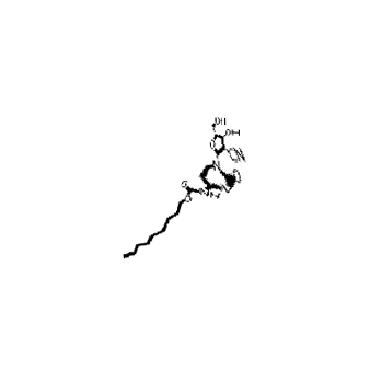 C=CCCCCCCCOC(=O)Nc1ccn([C@@H]2O[C@H](CO)[C@@H](O)[C@@H]2C#N)c(=O)n1